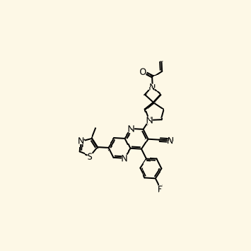 C=CC(=O)N1CC2(CCN(c3nc4cc(-c5scnc5C)cnc4c(-c4ccc(F)cc4)c3C#N)C2)C1